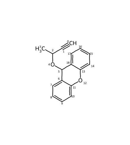 C#CC(C)OC1c2ccccc2Oc2ccccc21